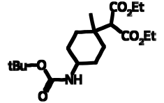 CCOC(=O)C(C(=O)OCC)C1(C)CCC(NC(=O)OC(C)(C)C)CC1